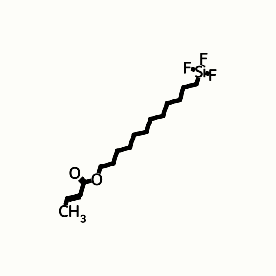 CC=CC(=O)OCCCCCCCCCCCC[Si](F)(F)F